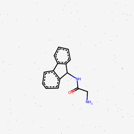 NCC(=O)NC1c2ccccc2-c2ccccc21